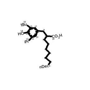 CCCCCCCCCCCCCCCCC(Cc1cc(C(C)C)c(O)c(C(C)(C)C)c1)C(=O)O